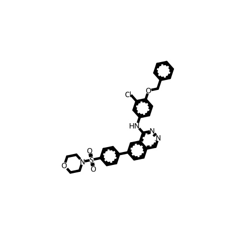 O=S(=O)(c1ccc(-c2ccc3cnnc(Nc4ccc(OCc5ccccc5)c(Cl)c4)c3c2)cc1)N1CCOCC1